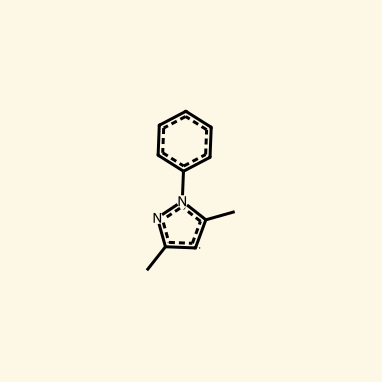 Cc1[c]c(C)n(-c2ccccc2)n1